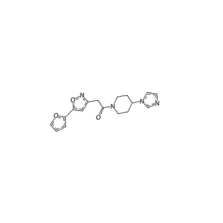 O=C(Cc1cc(-c2ccco2)on1)N1CCC(n2ccnc2)CC1